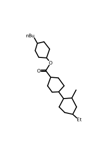 CCCCC1CCC(OC(=O)C2CCC(C3CCC(CC)CC3C)CC2)CC1